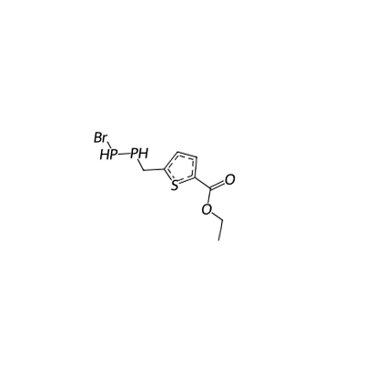 CCOC(=O)c1ccc(CPPBr)s1